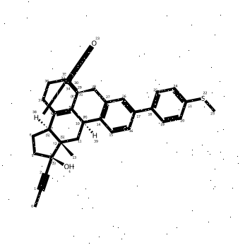 CC#C[C@]1(O)CC[C@H]2C3=C4[C@H](C[C@@]21C)c1ccc(-c2ccc(SC)cc2)cc1C[C@@]41CCC(=O)C=C1CC3